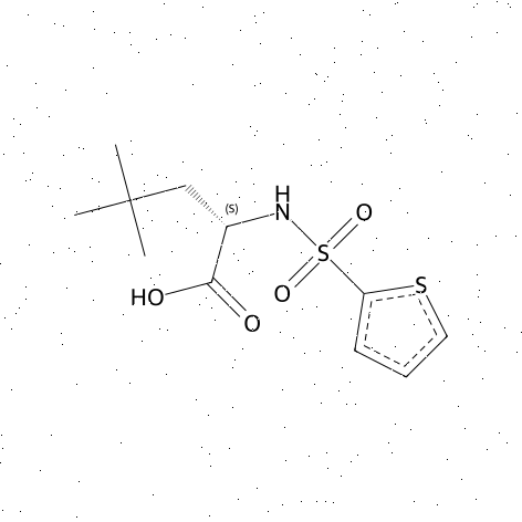 CC(C)(C)C[C@H](NS(=O)(=O)c1cccs1)C(=O)O